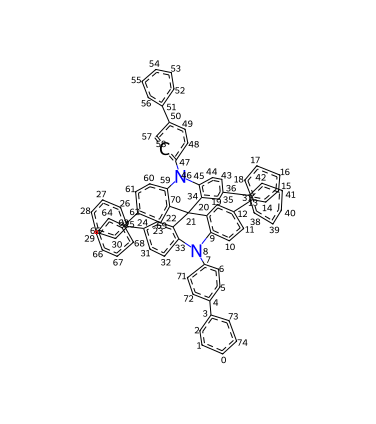 c1ccc(-c2ccc(N3c4ccc(-c5ccccc5)cc4C4(c5cc(-c6ccccc6)ccc53)c3cc(-c5ccccc5)ccc3N(c3ccc(-c5ccccc5)cc3)c3ccc(-c5ccccc5)cc34)cc2)cc1